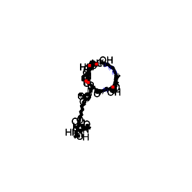 CO[C@@H]1C[C@H](C[C@@H](C)[C@@H]2CC(=O)[C@H](C)/C=C(\C)[C@@H](O)[C@@H](OC)C(=O)[C@H](C)C[C@H](C)/C=C/C=C/C=C(\C)[C@@H](O)C[C@@H]3CC[C@@H](C)[C@@](O)(O3)C(=O)C(=O)N3CCCC[C@H]3C(=O)O2)CC[C@H]1OCCCCCCOC(=O)c1c(I)c(NC(C)=O)c(I)c(NC(C)=O)c1I